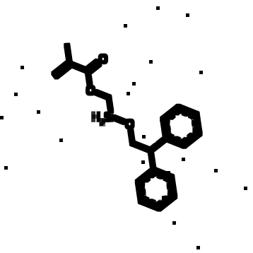 C=C(C)C(=O)OC[SiH2]OCC(c1ccccc1)c1ccccc1